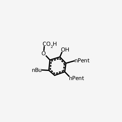 CCCCCc1cc(CCCC)c(OC(=O)O)c(O)c1CCCCC